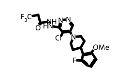 COc1cccc(F)c1C1CCN(c2cnnc(NNC(=O)CC(F)(F)F)c2Cl)CC1